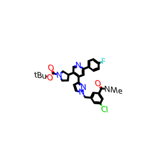 CNC(=O)c1cc(Cl)cc(Cn2ccc(-c3cc(-c4ccc(F)cc4)ncc3C3CCN(C(=O)OC(C)(C)C)C3)n2)c1